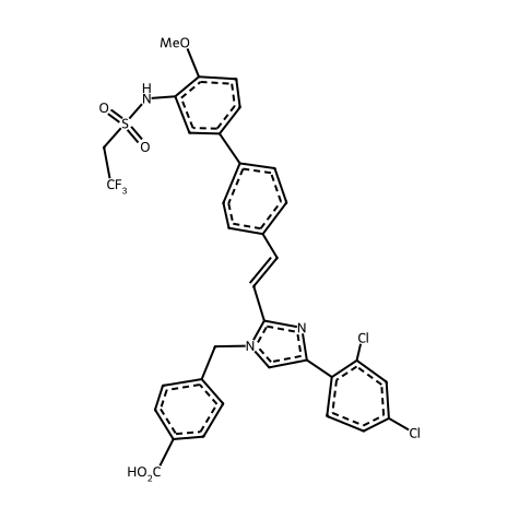 COc1ccc(-c2ccc(C=Cc3nc(-c4ccc(Cl)cc4Cl)cn3Cc3ccc(C(=O)O)cc3)cc2)cc1NS(=O)(=O)CC(F)(F)F